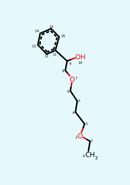 CCOCCCCOCC(O)c1ccccc1